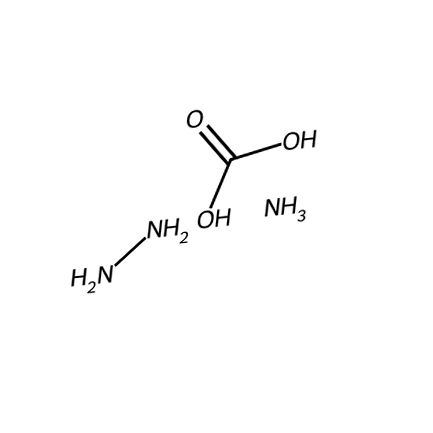 N.NN.O=C(O)O